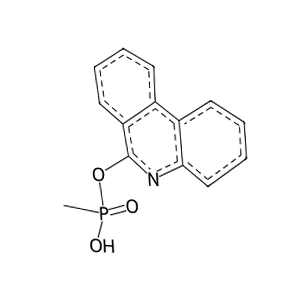 CP(=O)(O)Oc1nc2ccccc2c2ccccc12